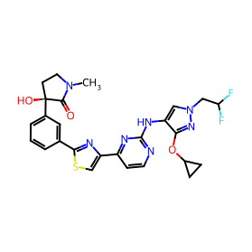 CN1CC[C@@](O)(c2cccc(-c3nc(-c4ccnc(Nc5cn(CC(F)F)nc5OC5CC5)n4)cs3)c2)C1=O